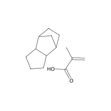 C1CC2C3CCC(C3)C2C1.C=C(C)C(=O)O